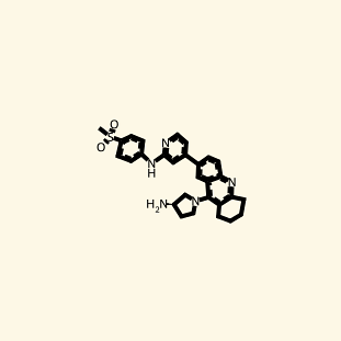 CS(=O)(=O)c1ccc(Nc2cc(-c3ccc4nc5c(c(N6CC[C@H](N)C6)c4c3)CCCC5)ccn2)cc1